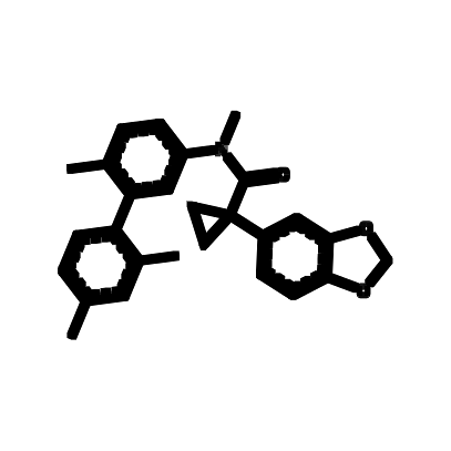 Cc1ccc(-c2cc(N(C)C(=O)C3(c4ccc5c(c4)OCO5)CC3)ccc2C)c(C)c1